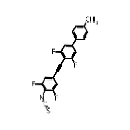 Cc1ccc(-c2cc(F)c(C#Cc3cc(F)c(N=C=S)c(F)c3)c(F)c2)cc1